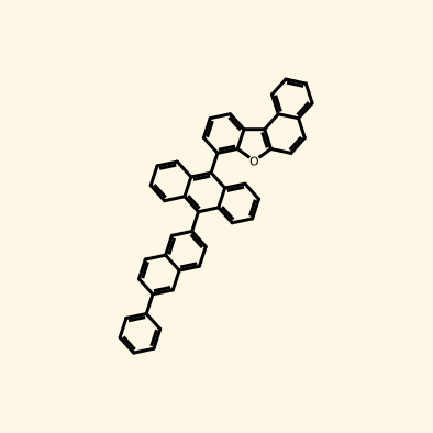 c1ccc(-c2ccc3cc(-c4c5ccccc5c(-c5cccc6c5oc5ccc7ccccc7c56)c5ccccc45)ccc3c2)cc1